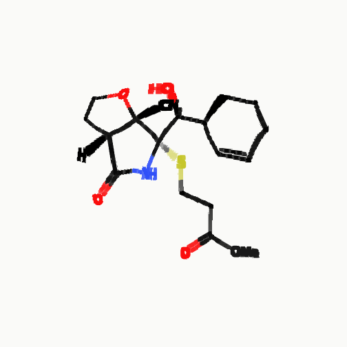 COC(=O)CCS[C@]1([C@@H](O)[C@@H]2C=CCCC2)NC(=O)[C@@H]2CCO[C@@]21C